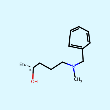 CC[C@@H](O)CCCN(C)Cc1ccccc1